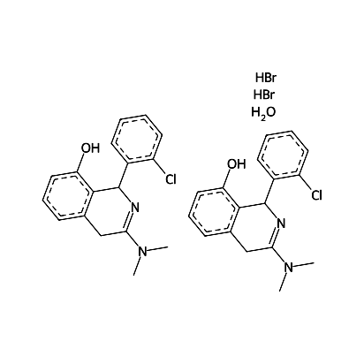 Br.Br.CN(C)C1=NC(c2ccccc2Cl)c2c(O)cccc2C1.CN(C)C1=NC(c2ccccc2Cl)c2c(O)cccc2C1.O